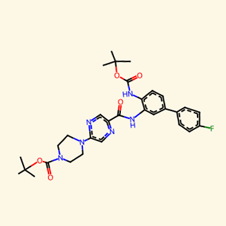 CC(C)(C)OC(=O)Nc1ccc(-c2ccc(F)cc2)cc1NC(=O)c1cnc(N2CCN(C(=O)OC(C)(C)C)CC2)cn1